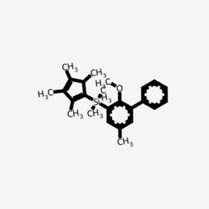 COc1c(-c2ccccc2)cc(C)cc1[Si](C)(C)C1=C(C)C(C)=C(C)C1C